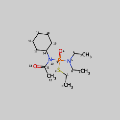 CCSP(=O)(N(CC)CC)N(C(C)=O)C1CCCCC1